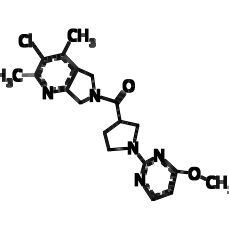 COc1ccnc(N2CCC(C(=O)N3Cc4nc(C)c(Cl)c(C)c4C3)C2)n1